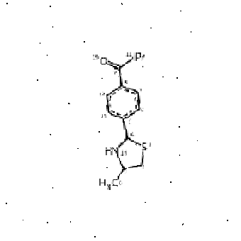 CC1CSC(c2ccc(C(=O)C(C)C)cc2)N1